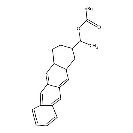 CCCCC(=O)OC(C)C1CCC2C=c3cc4ccccc4cc3=CC2C1